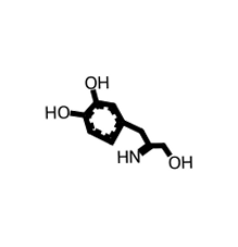 N=C(CO)Cc1ccc(O)c(O)c1